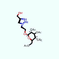 CC(=O)OCC1O[C@@H](OCCN2C=C(CO)NN2)[C@H](OC(C)=O)C(OC(C)=O)[C@@H]1OC(C)=O